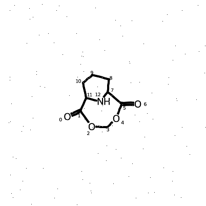 O=C1OCOC(=O)C2CCCC1N2